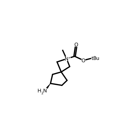 CC(C)(C)OC(=O)[N+]1(C)CC2(CC[C@@H](N)C2)C1